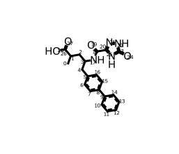 CC(CC(Cc1ccc(-c2ccccc2)cc1)NC(=O)c1n[nH]c(=O)[nH]1)C(=O)O